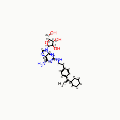 C=C(c1ccc(CCNc2nc(N)c3ncn([C@@H]4O[C@H](CO)[C@@H](O)[C@H]4O)c3n2)cc1)C1CCCCC1